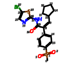 CS(=O)(=O)c1ccc(C(=CC2CCCC2)C(=O)Nc2ncc(Br)s2)cc1